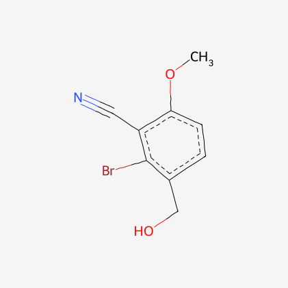 COc1ccc(CO)c(Br)c1C#N